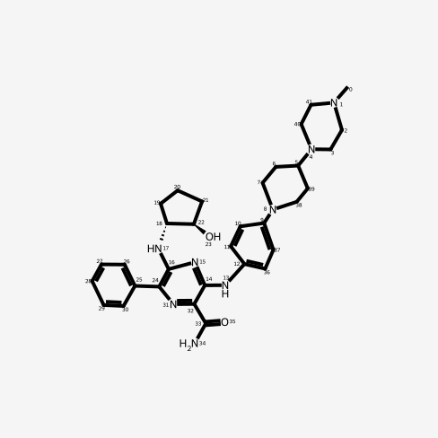 CN1CCN(C2CCN(c3ccc(Nc4nc(N[C@@H]5CCC[C@H]5O)c(-c5ccccc5)nc4C(N)=O)cc3)CC2)CC1